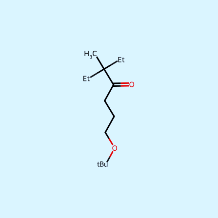 CCC(C)(CC)C(=O)CCCOC(C)(C)C